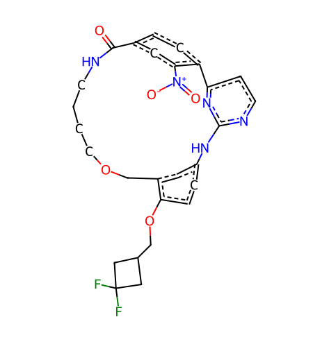 O=C1NCCCCOCc2cc(ccc2OCC2CC(F)(F)C2)Nc2nccc(n2)-c2ccc1cc2[N+](=O)[O-]